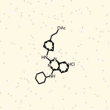 CC(=O)OCCc1ccc(Nc2nc(NC3CCCCC3)c3ccccc3n2)cc1.Cl